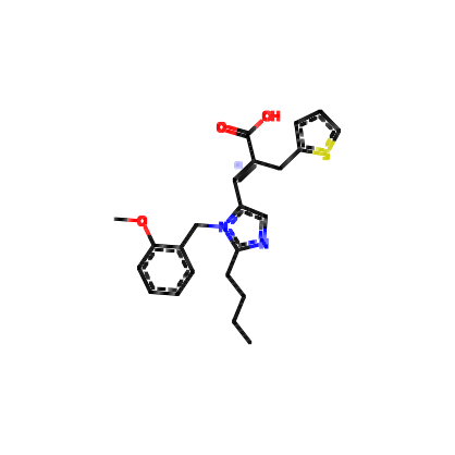 CCCCc1ncc(/C=C(\Cc2cccs2)C(=O)O)n1Cc1ccccc1OC